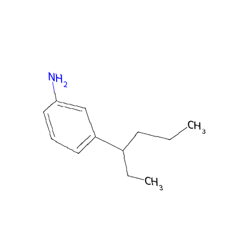 CCCC(CC)c1cccc(N)c1